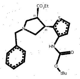 CCOC(=O)[C@@H]1CN(Cc2ccccc2)C[C@@H]1c1sccc1NC(=O)OC(C)(C)C